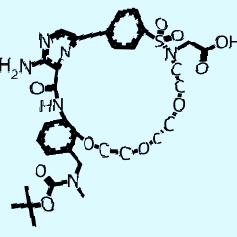 CN(Cc1cccc2c1OCCOCCOCCN(CC(=O)O)S(=O)(=O)c1ccc(cc1)-c1cnc(N)c(n1)C(=O)N2)C(=O)OC(C)(C)C